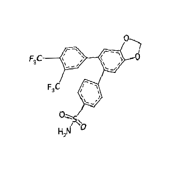 NS(=O)(=O)c1ccc(-c2cc3c(cc2-c2ccc(C(F)(F)F)c(C(F)(F)F)c2)OCO3)cc1